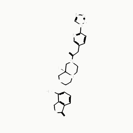 Cc1c([C@H]2CN3CCN(C(=O)Cc4ccc(-n5cnnn5)nc4)C[C@H]3CS2)ccc2c1COC2=O